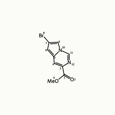 COC(=O)c1cc2cc(Br)cn2cn1